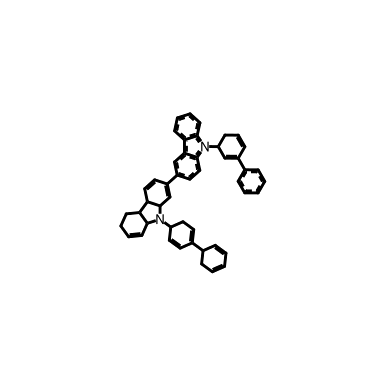 C1=CCC(C2=CCC(N3C4C=C(c5ccc6c(c5)c5ccccc5n6C5C=C(c6ccccc6)C=CC5)C=CC4C4CCC=CC43)C=C2)C=C1